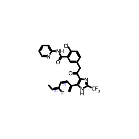 C=C(/C=C\C(F)=C/C)c1[nH]c(C(F)(F)F)nc1C(=O)Cc1ccc(Cl)c(C(=O)Nc2ccccn2)c1